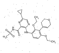 CCOc1ccc(Nc2ncc(C3CC3)nc2C(=O)NS(C)(=O)=O)c(OCC)c1C1=CCOCC1